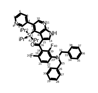 CC(C)[Si](c1c(-c2cccnc2)cnc2[nH]cc(C(=O)c3c(F)ccc(N(Cc4ccccc4)Cc4ccccc4)c3F)c12)(C(C)C)C(C)C